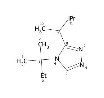 CCC(C)(C)n1cnnc1C(C)C(C)C